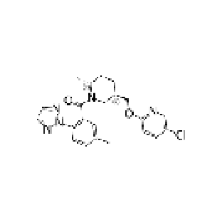 Cc1ccc(-n2nccn2)c(C(=O)N2C[C@H](COc3ccc(Cl)cn3)CC[C@H]2C)c1